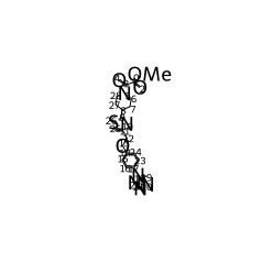 COC(=O)C(=O)N1CCC(c2nc(COc3ccc(-n4cnnn4)cc3)cs2)CC1